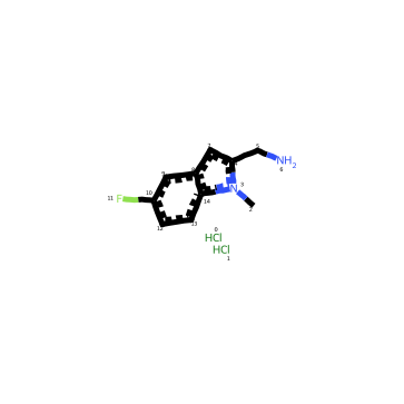 Cl.Cl.Cn1c(CN)cc2cc(F)ccc21